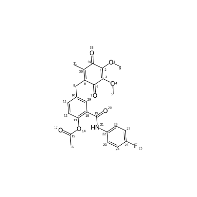 COC1=C(OC)C(=O)C(Cc2ccc(OC(C)=O)c(C(=O)Nc3ccc(F)cc3)c2)=C(C)C1=O